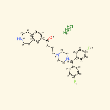 Cl.Cl.Cl.O=C(CCCN1CCN(C(c2ccc(F)cc2)c2ccc(F)cc2)CC1)c1ccc2c(c1)CCNCC2